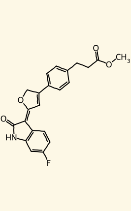 COC(=O)CCc1ccc(C2=CC(=C3C(=O)Nc4cc(F)ccc43)OC2)cc1